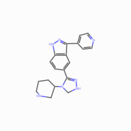 c1cc(-c2n[nH]c3ccc(C4=NNCN4C4CCCNC4)cc23)ccn1